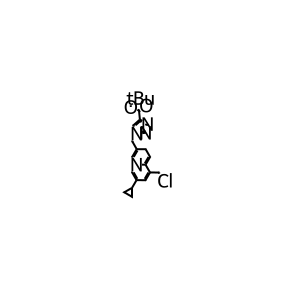 CC(C)(C)OC(=O)c1cn(CC2=CN3C=C(C4CC4)C=C(CCl)C3=CC2)nn1